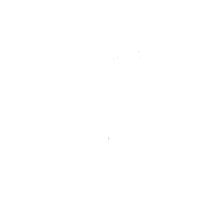 CC(C)(O)CNS(=O)(=O)c1ccc(-c2ccnc3[nH]c(C(F)(F)F)cc23)s1